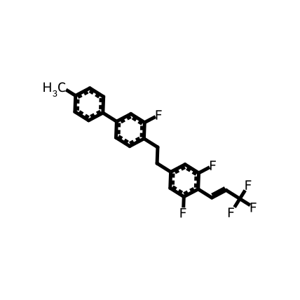 Cc1ccc(-c2ccc(CCc3cc(F)c(/C=C/C(F)(F)F)c(F)c3)c(F)c2)cc1